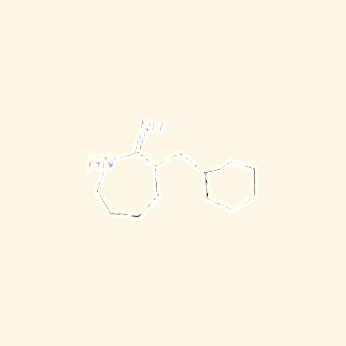 N=C1NCCCCC1CC1CCCCC1